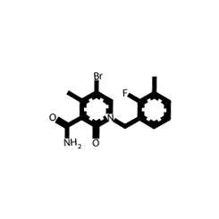 Cc1cccc(Cn2cc(Br)c(C)c(C(N)=O)c2=O)c1F